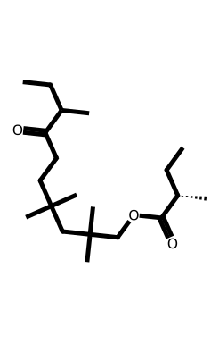 CCC(C)C(=O)CCC(C)(C)CC(C)(C)COC(=O)[C@@H](C)CC